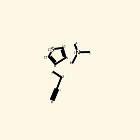 C#CCC.CN(C)C.c1ccsc1